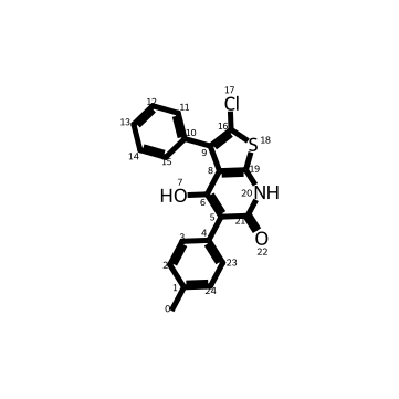 Cc1ccc(-c2c(O)c3c(-c4ccccc4)c(Cl)sc3[nH]c2=O)cc1